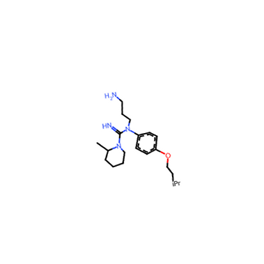 CC(C)CCOc1ccc(N(CCCN)C(=N)N2CCCCC2C)cc1